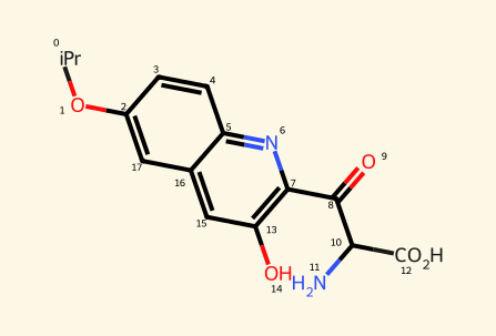 CC(C)Oc1ccc2nc(C(=O)C(N)C(=O)O)c(O)cc2c1